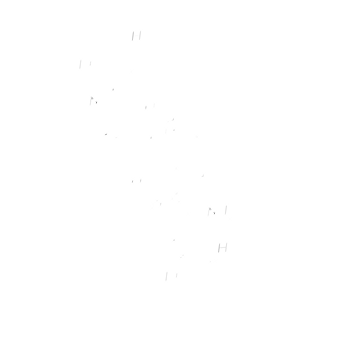 CC(C)CC(N)C(=O)OC1COC2C(OC(=O)C(N)CC(C)C)COC12